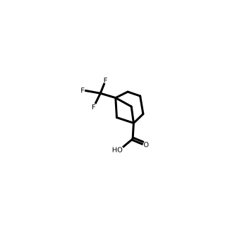 O=C(O)C12CCCC(C(F)(F)F)(C1)C2